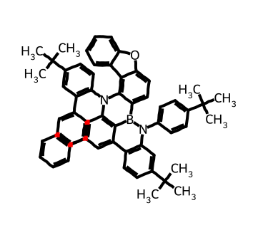 CC(C)(C)c1ccc(N2B3c4ccc5oc6ccccc6c5c4N(c4ccc(C(C)(C)C)cc4-c4ccccc4)c4cc(-c5ccccc5)cc(c43)-c3ccc(C(C)(C)C)cc32)cc1